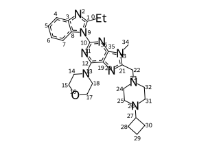 CCc1nc2ccccc2n1-c1nc(N2CCOCC2)c2nc(CN3CCN(C4CCC4)CC3)n(C)c2n1